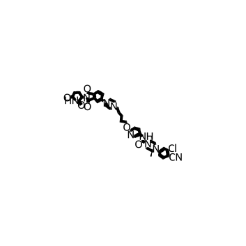 C[C@@H]1CN(c2ccc(C#N)c(Cl)c2)[C@@H](C)CN1C(=O)Nc1ccc(OCCCCCN2CCN(c3ccc4c(c3)C(=O)N(C3CCC(=O)NC3=O)C4=O)CC2)nc1